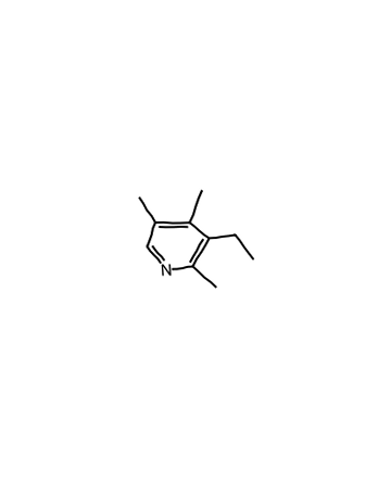 CCc1c(C)ncc(C)c1C